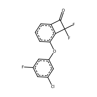 O=C1c2cccc(Oc3cc(F)cc(Cl)c3)c2C1(F)F